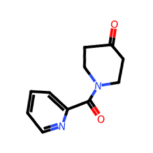 O=C1CCN(C(=O)c2ccccn2)CC1